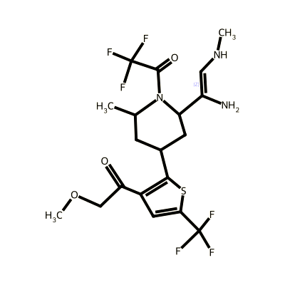 CN/C=C(\N)C1CC(c2sc(C(F)(F)F)cc2C(=O)COC)CC(C)N1C(=O)C(F)(F)F